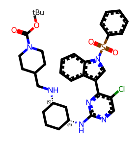 CC(C)(C)OC(=O)N1CCC(CN[C@H]2CCC[C@@H](Nc3ncc(Cl)c(-c4cn(S(=O)(=O)c5ccccc5)c5ccccc45)n3)C2)CC1